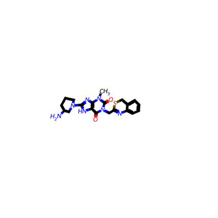 Cn1c(=O)n(CC2=Nc3ccccc3CS2)c(=O)c2[nH]c(N3CCCC(N)C3)nc21